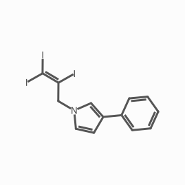 IC(I)=C(I)Cn1ccc(-c2ccccc2)c1